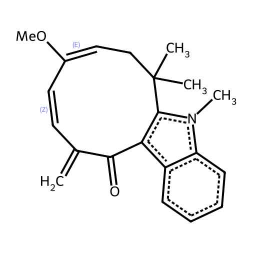 C=C1/C=C\C(OC)=C/CC(C)(C)c2c(c3ccccc3n2C)C1=O